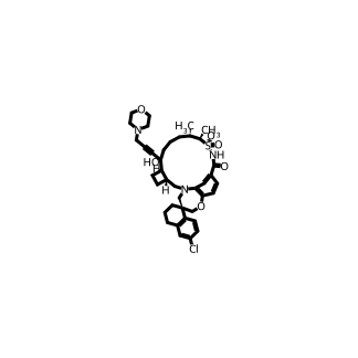 C[C@@H]1[C@@H](C)CCC[C@](O)(C#CCN2CCOCC2)[C@@H]2CC[C@H]2CN2C[C@@]3(CCCc4cc(Cl)ccc43)COc3ccc(cc32)C(=O)NS1(=O)=O